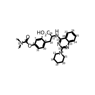 CN(C)C(=O)Oc1ccc(C[C@H](Nc2nc(N3CCCCC3)nc3ccccc23)C(=O)O)cc1